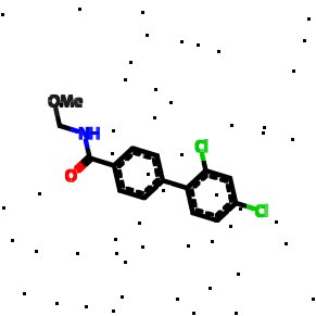 COCNC(=O)c1ccc(-c2ccc(Cl)cc2Cl)cc1